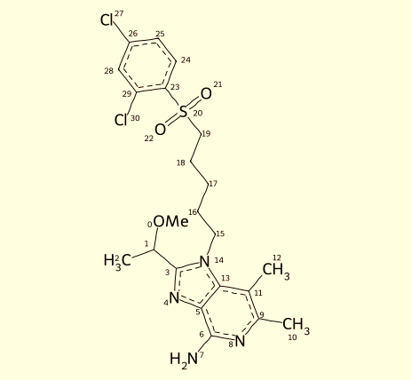 COC(C)c1nc2c(N)nc(C)c(C)c2n1CCCCCS(=O)(=O)c1ccc(Cl)cc1Cl